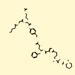 CC[C@H](C)[C@H](NC(=O)[C@H]1CCCCN1C)C(=O)N(C)[C@H](C[C@@H](OC(C)=O)c1nc(C(=O)N[C@@H](Cc2ccccc2)C[C@H](C)C(=O)NOCc2ccc(NC(=O)[C@H](CCCNC(N)=O)NC(=O)[C@@H](NC(=O)CCCC(=O)O)C(C)C)cc2)cs1)C(C)C